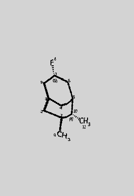 CC1CC2CC(C[C@@H](F)C2)[C@@H]1C